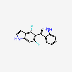 Fc1cc2[nH]ccc2c(F)c1-c1c[nH]c2ccccc12